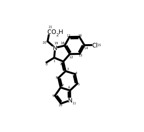 CC1C(=c2ccc3c(c2)C=CN=3)c2cc(Cl)ccc2N1CC(=O)O